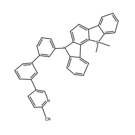 C[Si]1(C)c2ccccc2-c2ccc3c(c21)c1ccccc1n3-c1cccc(-c2cccc(-c3ccc(C#N)nc3)c2)c1